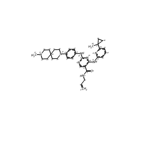 C=CCNC(=O)c1cnc(Nc2ccc(N3CCC4(CCN(C)CC4)CC3)cc2)nc1Nc1cccc(C2(C)CC2)n1